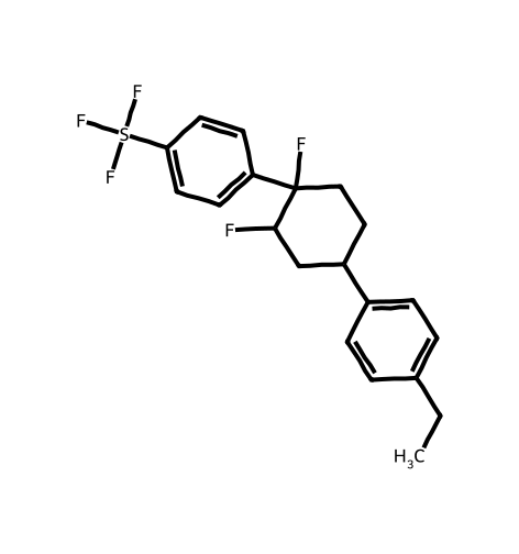 CCc1ccc(C2CCC(F)(c3ccc(S(F)(F)F)cc3)C(F)C2)cc1